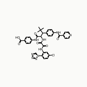 CC(C)(C)C(c1ccc(NC(=O)c2ccncc2)cc1)C(NC(=O)C(=O)Nc1cc(Cl)ccc1-n1cnnn1)C(=O)Nc1ccc(C(=O)O)cc1